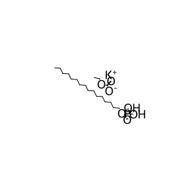 CCCCCCCCCCCCCCCCOP(=O)(O)O.CCOC(=O)[O-].[K+]